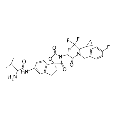 CC(C)C(N)C(=O)Nc1ccc2c(c1)CC[C@@]21OC(=O)N(CC(=O)N(Cc2ccc(F)cc2)C(C2CC2)C(F)(F)F)C1=O